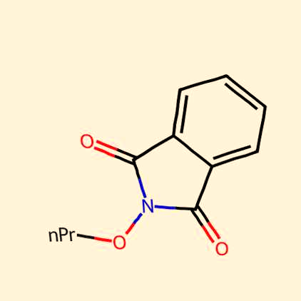 CCCON1C(=O)c2ccccc2C1=O